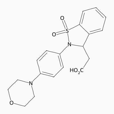 O=C(O)CC1c2ccccc2S(=O)(=O)N1c1ccc(N2CCOCC2)cc1